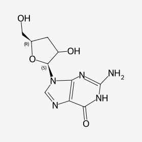 Nc1nc2c(ncn2[C@H]2O[C@@H](CO)CC2O)c(=O)[nH]1